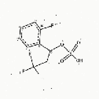 O=S(=O)(O)OC(CC(F)(F)F)c1ccccc1F